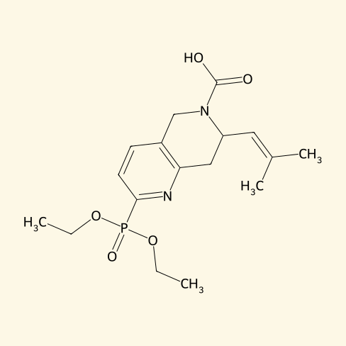 CCOP(=O)(OCC)c1ccc2c(n1)CC(C=C(C)C)N(C(=O)O)C2